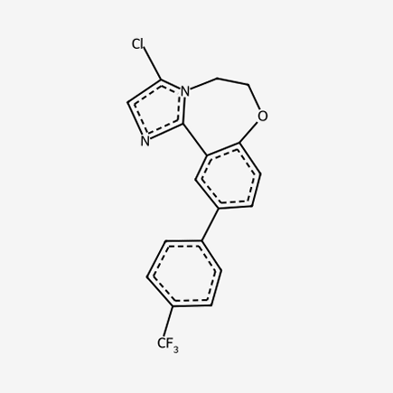 FC(F)(F)c1ccc(-c2ccc3c(c2)-c2ncc(Cl)n2CCO3)cc1